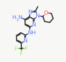 Cc1nc2c(N)cc(Nc3cccc(C(F)(F)F)n3)nc2n1C1CCCCO1